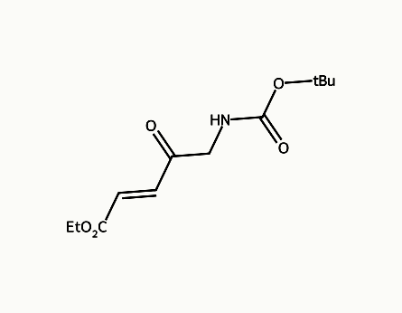 CCOC(=O)/C=C/C(=O)CNC(=O)OC(C)(C)C